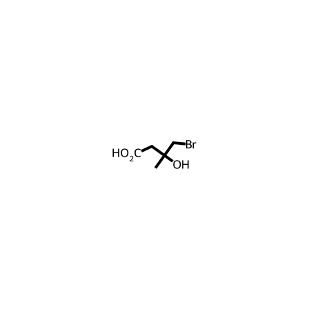 CC(O)(CBr)CC(=O)O